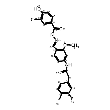 COc1cc(NC(=O)Cc2ccc(F)c(F)c2)ccc1/C=N/NC(=O)c1ccc(O)c(Cl)c1